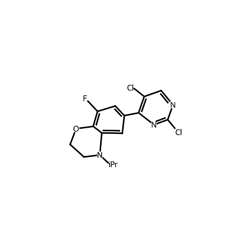 CC(C)N1CCOc2c(F)cc(-c3nc(Cl)ncc3Cl)cc21